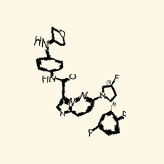 O=C(Nc1ccc(NC2COC2)cc1)c1cnc2ccc(N3C[C@@H](F)C[C@@H]3c3cc(F)ccc3F)nn12